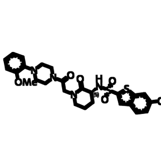 COc1ccccc1N1CCN(C(=O)CN2CCC[C@H](NS(=O)(=O)c3cc4ccc(Cl)cc4s3)C2=O)CC1